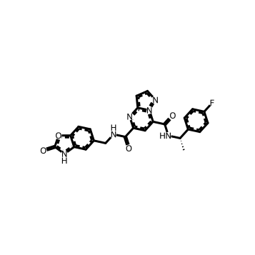 C[C@H](NC(=O)c1cc(C(=O)NCc2ccc3oc(=O)[nH]c3c2)nc2ccnn12)c1ccc(F)cc1